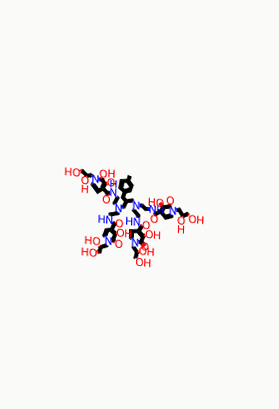 Cc1ccc(CC(CN(CCNC(=O)c2ccn(CC(O)CO)c(=O)c2O)CCNC(=O)c2ccn(CC(O)CO)c(=O)c2O)CN(CCNC(=O)c2ccn(CC(O)CO)c(=O)c2O)CCNC(=O)c2ccn(CC(O)CO)c(=O)c2O)cc1